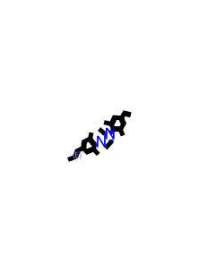 C=Cc1cc(C)c(N2CCN(c3c(C)cc(/C=C/C)cc3C)C2C)c(C)c1